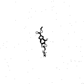 CCOC(=O)C1Cc2cc3nc(CN=[N+]=[N-])oc3c(F)c2C1